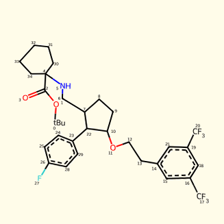 CC(C)(C)OC(=O)C1(NCC2CCC(OCCc3cc(C(F)(F)F)cc(C(F)(F)F)c3)C2c2ccc(F)cc2)CCCCC1